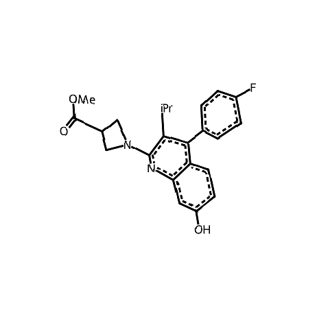 COC(=O)C1CN(c2nc3cc(O)ccc3c(-c3ccc(F)cc3)c2C(C)C)C1